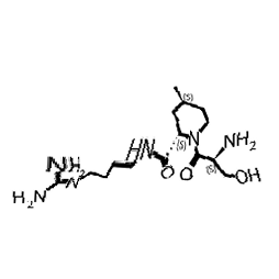 C[C@H]1CCN(C(=O)[C@@H](N)CO)[C@H](C(=O)NCCCCN=C(N)N)C1